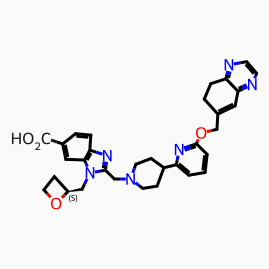 O=C(O)c1ccc2nc(CN3CCC(c4cccc(OCC5=Cc6nccnc6CC5)n4)CC3)n(C[C@@H]3CCO3)c2c1